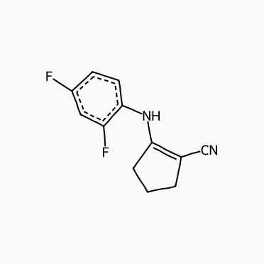 N#CC1=C(Nc2ccc(F)cc2F)CCC1